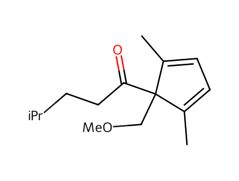 COCC1(C(=O)CCC(C)C)C(C)=CC=C1C